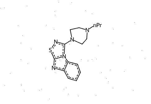 CCCN1CCN(c2nsc3nc4ccccc4n23)CC1